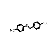 CCCCc1ccc(N=Nc2ccc(C#N)cc2)cc1